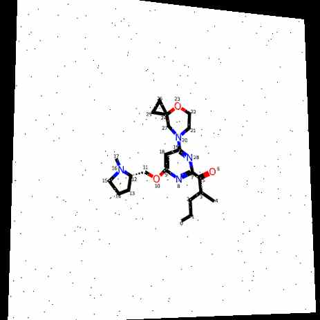 CCCC(C)C(=O)c1nc(OC[C@@H]2CCCN2C)cc(N2CCOC3(CC3)C2)n1